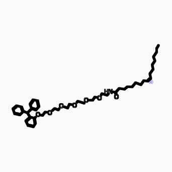 CCCCCCCC/C=C\CCCCCCCC(=O)NCCOCCOCCOCCOCCOCCOc1ccccc1C(c1ccccc1)c1ccccc1